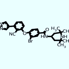 CC1(C)CC(NC(=O)c2ccc(Oc3cccc(-c4cn[nH]c4)c3C#N)c(Br)c2)CC(C)(C)N1